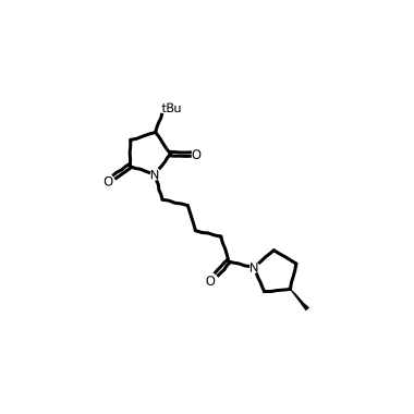 C[C@@H]1CCN(C(=O)CCCCN2C(=O)CC(C(C)(C)C)C2=O)C1